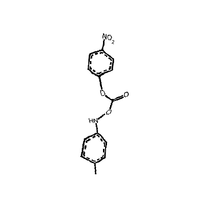 Cc1ccc(NOC(=O)Oc2ccc([N+](=O)[O-])cc2)cc1